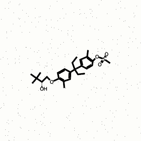 CCC(CC)(c1ccc(OC[C@H](O)C(C)(C)C)c(C)c1)c1ccc(OS(C)(=O)=O)c(C)c1